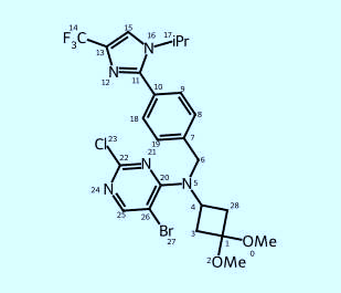 COC1(OC)CC(N(Cc2ccc(-c3nc(C(F)(F)F)cn3C(C)C)cc2)c2nc(Cl)ncc2Br)C1